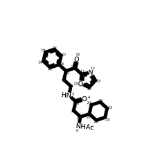 CC(=O)NC(CC(=O)NCCC(C(=O)c1ncco1)c1ccccc1)C1CCCCC1